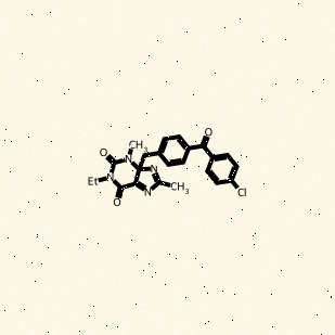 CCN1C(=O)C2=NC(C)=NC2(Cc2ccc(C(=O)c3ccc(Cl)cc3)cc2)N(C)C1=O